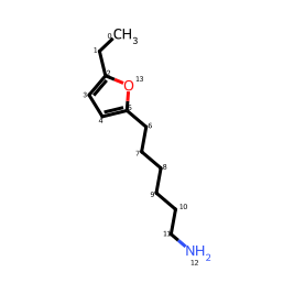 CCc1ccc(CCCCCCN)o1